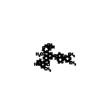 COc1nc(-c2c(Cl)c(C)cc3[nH]ncc23)c(F)c2nc(OC[C@]34CCC[C@H]3N(C3C[C@@H](C)O[C@@H](C)C3)CCC4)nc(N3CCOC[C@@](C)(O)C3)c12